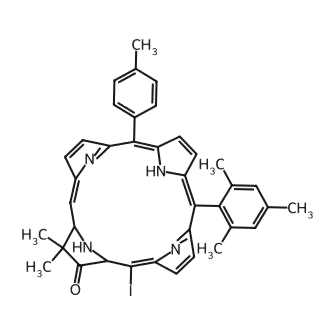 Cc1ccc(/C2=c3\cc/c([nH]3)=C(\c3c(C)cc(C)cc3C)C3=N/C(=C(/I)C4NC(/C=C5/C=CC2=N5)C(C)(C)C4=O)C=C3)cc1